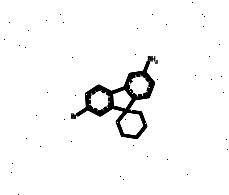 Bc1ccc2c(c1)-c1ccc(Br)cc1C21CCCCC1